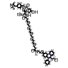 Cc1ncsc1-c1ccc(CNC(=O)[C@@H]2C[C@@H](O)CN2C(=O)[C@@H](NC(=O)CCOCCOCCOCCOCCOCCC(=O)N(C)CCOc2ccc(/C(=C(/CCCl)c3ccccc3)c3ccccc3)cc2)C(C)(C)C)cc1